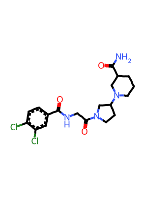 NC(=O)C1CCCN(C2CCN(C(=O)CNC(=O)c3ccc(Cl)c(Cl)c3)C2)C1